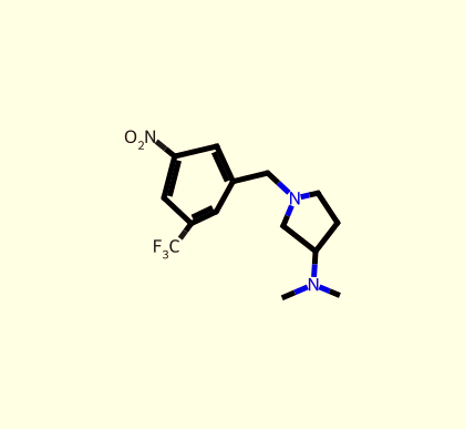 CN(C)C1CCN(Cc2cc([N+](=O)[O-])cc(C(F)(F)F)c2)C1